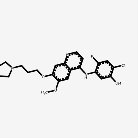 COc1cc2c(Nc3cc(O)c(Cl)cc3F)ccnc2cc1OCCCN1CCCC1